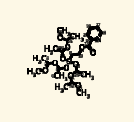 COC(C)OC(C)O[Si](CCOC(=O)c1ccccn1)(OC(C)OC(C)OC)OC(C)OC(C)OC